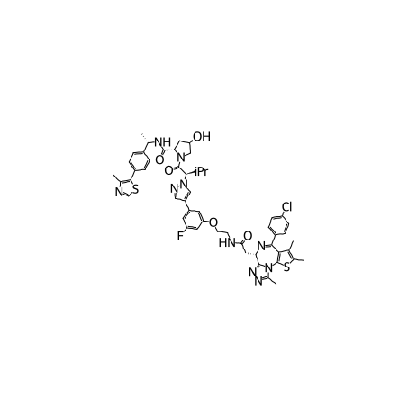 Cc1ncsc1-c1ccc([C@H](C)NC(=O)[C@@H]2C[C@@H](O)CN2C(=O)[C@@H](C(C)C)n2cc(-c3cc(F)cc(OCCNC(=O)C[C@@H]4N=C(c5ccc(Cl)cc5)c5c(sc(C)c5C)-n5c(C)nnc54)c3)cn2)cc1